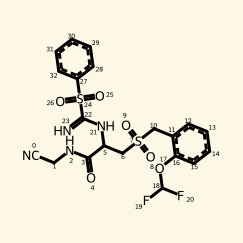 N#CCNC(=O)C(CS(=O)(=O)Cc1ccccc1OC(F)F)NC(=N)S(=O)(=O)c1ccccc1